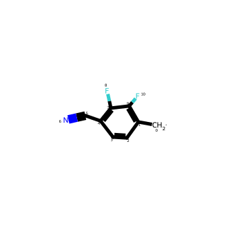 [CH2]c1ccc(C#N)c(F)c1F